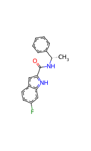 C[C@H](NC(=O)c1cc2ccc(F)cc2[nH]1)c1ccccc1